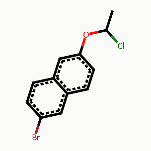 CC(Cl)Oc1ccc2cc(Br)ccc2c1